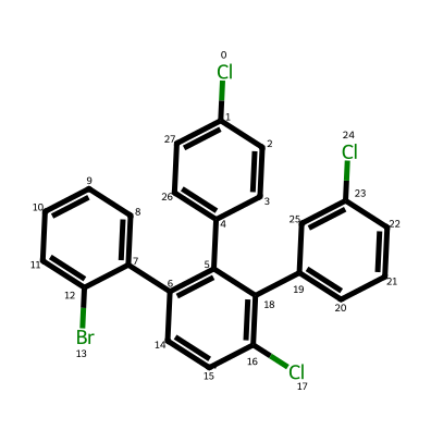 Clc1ccc(-c2c(-c3ccccc3Br)c[c]c(Cl)c2-c2cccc(Cl)c2)cc1